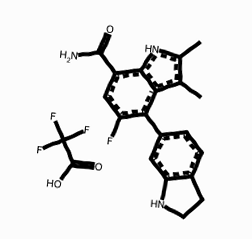 Cc1[nH]c2c(C(N)=O)cc(F)c(-c3ccc4c(c3)NCC4)c2c1C.O=C(O)C(F)(F)F